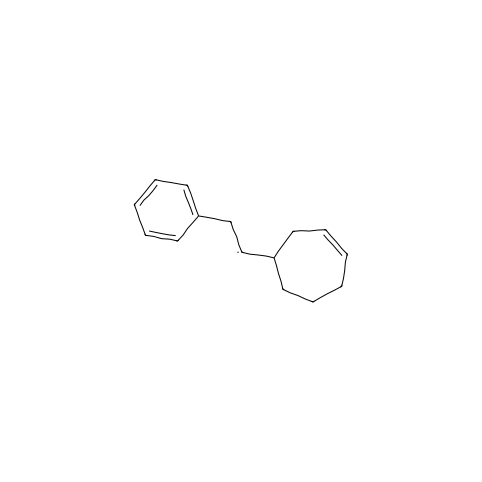 [CH](Cc1ccccc1)C1CC=CCCC1